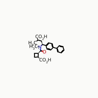 C[C@H](C[C@@H](c1ccc(-c2ccccc2)cc1)N(C)C(=O)[C@@H]1CC[C@@H]1C(=O)O)C(=O)O